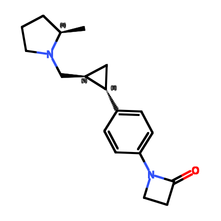 C[C@@H]1CCCN1C[C@H]1C[C@@H]1c1ccc(N2CCC2=O)cc1